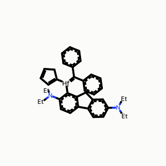 CCN(CC)c1ccc2c(c1)Cc1c-2ccc(N(CC)CC)[c]1[Hf]([C]1=CC=CC1)=[C](c1ccccc1)c1ccccc1